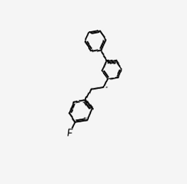 Fc1ccc(C[CH]c2cccc(-c3ccccc3)c2)cc1